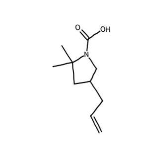 C=CCC1CN(C(=O)O)C(C)(C)C1